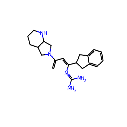 C=C(/C=C(\N=C(N)N)C1Cc2ccccc2C1)N1CC2CCCNC2C1